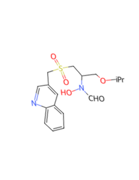 CC(C)OCC(CS(=O)(=O)Cc1cnc2ccccc2c1)N(O)C=O